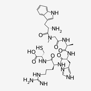 C[C@H](NC(=O)CN(C)C(=O)[C@@H](N)Cc1c[nH]c2ccccc12)C(=O)N[C@@H](Cc1c[nH]cn1)C(=O)N[C@@H](CCCNC(=N)N)C(=O)N[C@@H](CS)C(=O)O